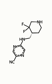 N#Cc1cnc(NC[C@H]2CCNCC2(F)F)cn1